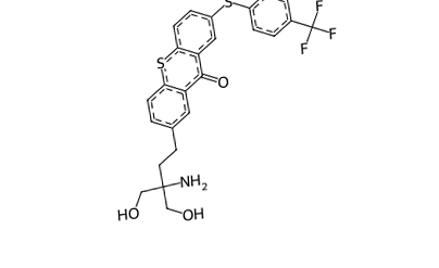 NC(CO)(CO)CCc1ccc2sc3ccc(Sc4ccc(C(F)(F)F)cc4)cc3c(=O)c2c1